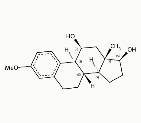 COc1ccc2c(c1)CC[C@@H]1[C@@H]2[C@@H](O)C[C@]2(C)[C@@H](O)CC[C@@H]12